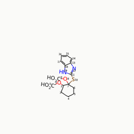 O=C(O)OC1CCCCC1(OC(=O)O)Sc1nc2ccccc2[nH]1